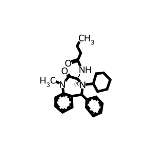 CCCC(=O)N[C@H]1C(=O)N(C)c2ccccc2C(c2ccccc2)N1C1CCCCC1